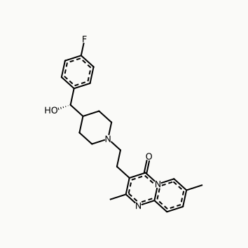 Cc1ccc2nc(C)c(CCN3CCC([C@H](O)c4ccc(F)cc4)CC3)c(=O)n2c1